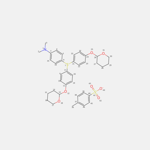 CN(C)c1ccc([S+](c2ccc(OC3CCCCO3)cc2)c2ccc(OC3CCCCO3)cc2)cc1.Cc1ccc(S(=O)(=O)[O-])cc1